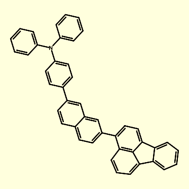 c1ccc(N(c2ccccc2)c2ccc(-c3ccc4ccc(-c5ccc6c7c(cccc57)-c5ccccc5-6)cc4c3)cc2)cc1